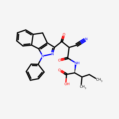 CCC(C)[C@H](NC(=O)C(C#N)C(=O)c1nn(-c2ccccc2)c2c1Cc1ccccc1-2)C(=O)O